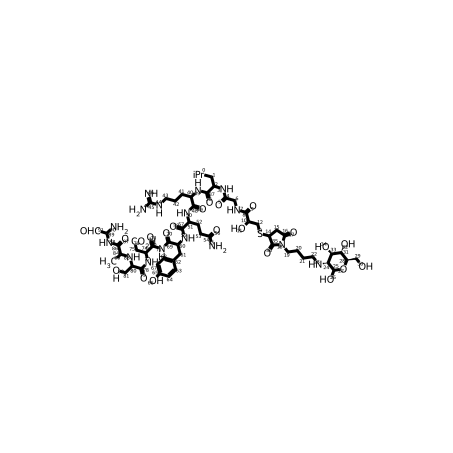 CC(C)CC(NC(=O)CNC(=O)C(O)CSC1CC(=O)N(CCCCN[C@H]2C(O)O[C@H](CO)[C@@H](O)[C@@H]2O)C1=O)C(=O)NC(CCCNC(=N)N)C(=O)NC(CCC(N)=O)C(=O)NC(Cc1ccc(O)cc1)C(=O)NC(=O)C(CC(=O)O)NC(=O)C(CO)NC(C)C(=O)NC(N)C=O